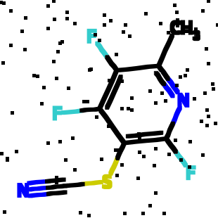 Cc1nc(F)c(SC#N)c(F)c1F